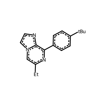 CCc1cn2ccnc2c(-c2ccc(C(C)(C)C)cc2)n1